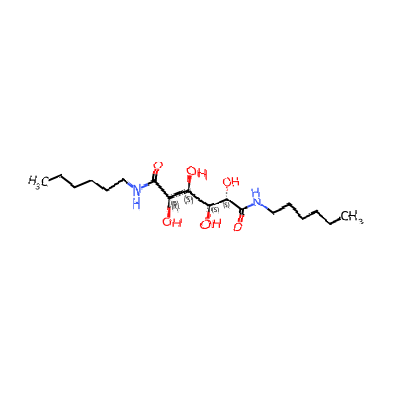 CCCCCCNC(=O)[C@@H](O)[C@@H](O)[C@H](O)[C@@H](O)C(=O)NCCCCCC